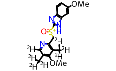 [2H]c1nc(C[S+]([O-])c2nc3ccc(OC)cc3[nH]2)c(C([2H])([2H])[2H])c(OC)c1C([2H])([2H])[2H]